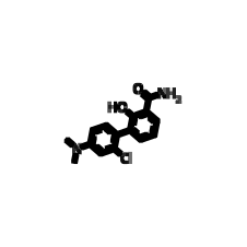 CN(C)c1ccc(-c2cccc(C(N)=O)c2O)c(Cl)c1